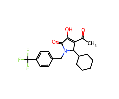 CC(=O)C1=C(O)C(=O)N(Cc2ccc(C(F)(F)F)cc2)C1C1CCCCC1